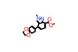 COC(=O)c1ccc(C2=CCC3(CC2)OCCO3)c2cn(C)nc12